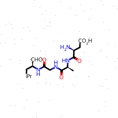 CC(C)C[C@@H]([C]=O)NC(=O)CNC(=O)[C@H](C)NC(=O)[C@@H](N)CC(=O)O